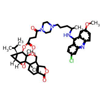 COc1ccc2nc3cc(Cl)ccc3c(NC(C)CCCN3CCN(C(=O)CCC(=O)O[C@@H]4[C@@]5(C(C)C)C[C@H]5[C@@H]5O[C@@]56[C@@]5(C)CCC7=C(COC7=O)C5CO[C@]46C)CC3)c2c1